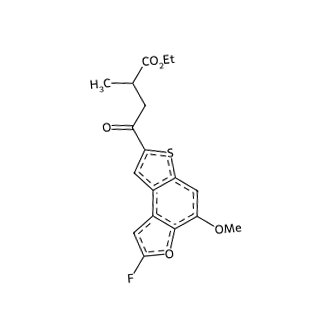 CCOC(=O)C(C)CC(=O)c1cc2c(cc(OC)c3oc(F)cc32)s1